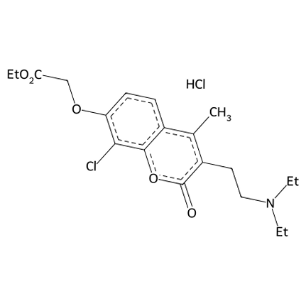 CCOC(=O)COc1ccc2c(C)c(CCN(CC)CC)c(=O)oc2c1Cl.Cl